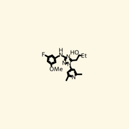 CCC(O)Cc1nc(Nc2cc(F)cc(OC)c2)nn1-c1cc(C)nc(C)c1